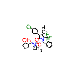 Cc1c(-c2ccc(Cl)cc2)c(OC(=O)N(C)CC2CCC[C@@H]2O)n(Cc2ccccc2)c1C(F)(F)F